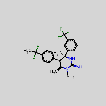 C=C1[C@@H](c2ccc(C(C)(F)F)cc2)[C@@](C)(c2cccc(C(F)(F)F)c2)NC(=N)N1C